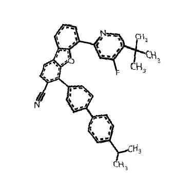 CC(C)c1ccc(-c2ccc(-c3c(C#N)ccc4c3oc3c(-c5cc(F)c(C(C)(C)C)cn5)cccc34)cc2)cc1